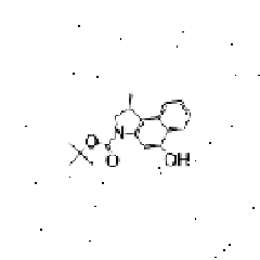 CC1CN(C(=O)OC(C)(C)C)c2cc(O)c3ccccc3c21